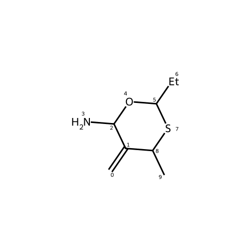 C=C1C(N)OC(CC)SC1C